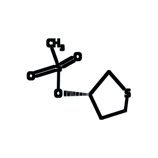 CS(=O)(=O)O[C@H]1CCSC1